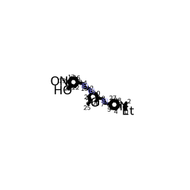 CCN(C)c1ccc(/C=C/C2=CC(=C/C=C/c3ccc(N=O)c(O)c3)/C=C(C)O2)cc1